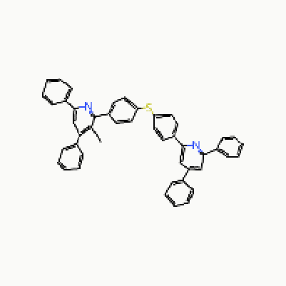 Cc1c(-c2ccccc2)cc(-c2ccccc2)nc1-c1ccc(Sc2ccc(-c3cc(-c4ccccc4)cc(-c4ccccc4)n3)cc2)cc1